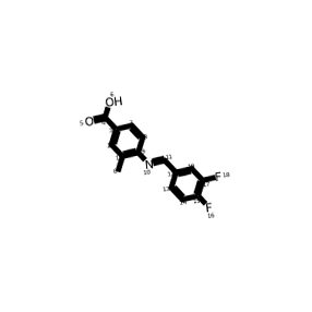 Cc1cc(C(=O)O)ccc1N=Cc1ccc(F)c(F)c1